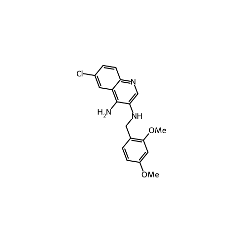 COc1ccc(CNc2cnc3ccc(Cl)cc3c2N)c(OC)c1